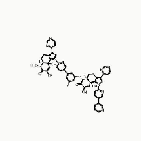 C[C@H]1C(=O)C(C#N)=C[C@@]2(C)c3c(c(-c4ccncn4)nn3-c3ccc(-c4cc(F)cc(C[C@H]5C(=O)C(C#N)=C[C@@]6(C)c7c(c(-c8ccncn8)nn7-c7ccc(-c8cccnc8)cn7)CC[C@H]56)c4)cn3)CC[C@H]12